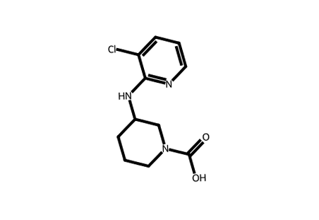 O=C(O)N1CCCC(Nc2ncccc2Cl)C1